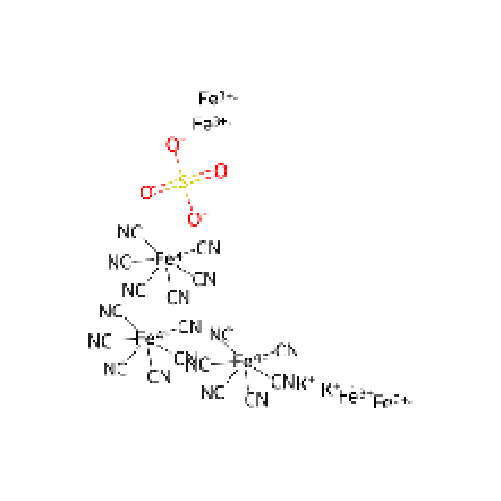 N#[C][Fe-4]([C]#N)([C]#N)([C]#N)([C]#N)[C]#N.N#[C][Fe-4]([C]#N)([C]#N)([C]#N)([C]#N)[C]#N.N#[C][Fe-4]([C]#N)([C]#N)([C]#N)([C]#N)[C]#N.O=S(=O)([O-])[O-].[Fe+3].[Fe+3].[Fe+3].[Fe+3].[K+].[K+]